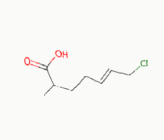 CC(CCC=CCCl)C(=O)O